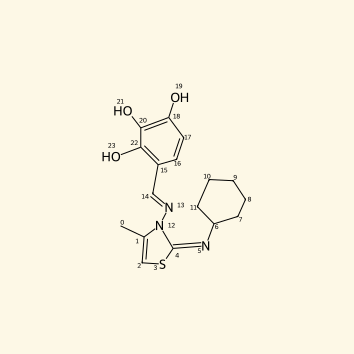 Cc1csc(=NC2CCCCC2)n1N=Cc1ccc(O)c(O)c1O